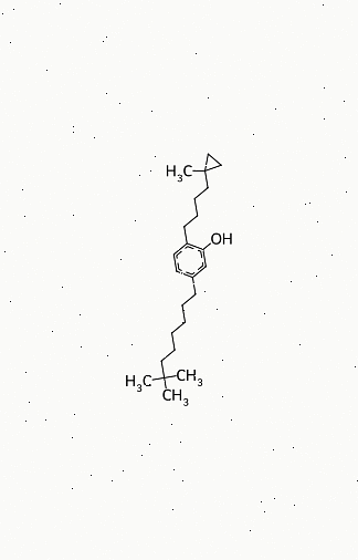 CC(C)(C)CCCCCCc1ccc(CCCCC2(C)CC2)c(O)c1